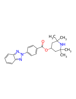 CC1(C)CC(OC(=O)c2ccc(-n3nc4ccccc4n3)cc2)CC(C)(C)N1